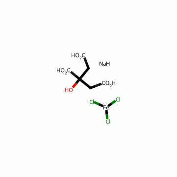 O=C(O)CC(O)(CC(=O)O)C(=O)O.[Cl][Fe]([Cl])[Cl].[NaH]